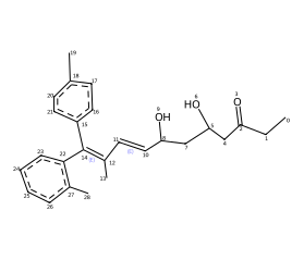 CCC(=O)CC(O)CC(O)/C=C/C(C)=C(\c1ccc(C)cc1)c1ccccc1C